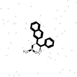 CN(C)C[C@H](c1ccc2ccccc2c1)[C@H](Cl)c1ccccc1